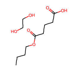 CCCCOC(=O)CCCC(=O)O.OCCO